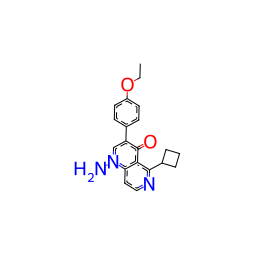 CCOc1ccc(-c2cn(N)c3ccnc(C4CCC4)c3c2=O)cc1